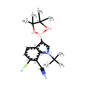 CC(C)(C)n1cc(B2OC(C)(C)C(C)(C)O2)c2ccc(F)c(C#N)c21